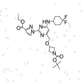 CCOC(=O)c1ccn(-c2nc(COC3CN(C(=O)OC(C)(C)C)C3)cc(NC3CCC(F)(F)CC3)n2)n1